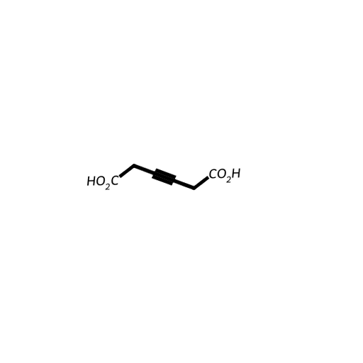 O=C(O)CC#CCC(=O)O